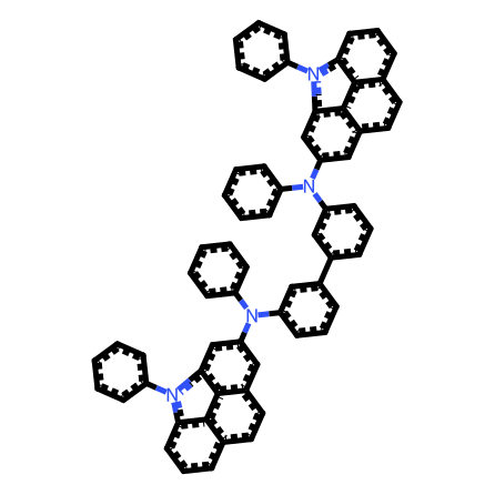 c1ccc(N(c2cccc(-c3cccc(N(c4ccccc4)c4cc5ccc6cccc7c6c5c(c4)n7-c4ccccc4)c3)c2)c2cc3ccc4cccc5c4c3c(c2)n5-c2ccccc2)cc1